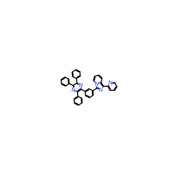 c1ccc(-c2nc(-c3ccccc3)c(-c3cccc(-c4nc(-c5ccccn5)c5ccccn45)c3)nc2-c2ccccc2)cc1